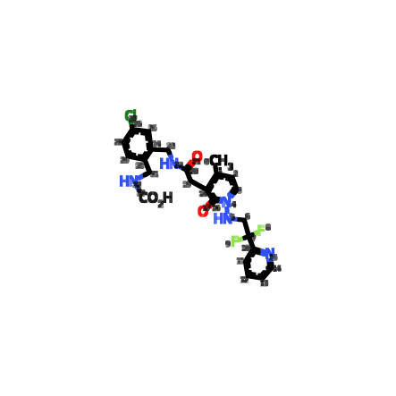 Cc1ccn(NCC(F)(F)c2ccccn2)c(=O)c1CC(=O)NCc1cc(Cl)ccc1CNC(=O)O